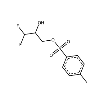 Cc1ccc(S(=O)(=O)OCC(O)C(F)F)cc1